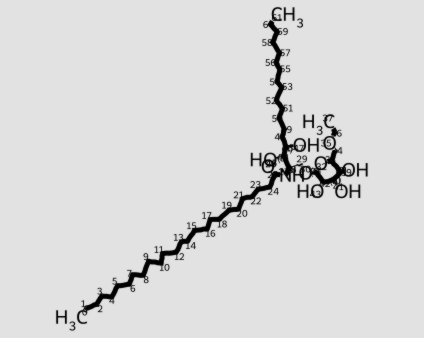 CCCCCCCCCCCCCCCCCCCCCCCCCC(=O)N[C@@H](CO[C@H]1OC(COCC)[C@H](O)[C@H](O)C1O)[C@H](O)[C@H](O)CCCCCCCCCCCCCC